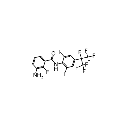 Nc1cccc(C(=O)Nc2c(I)cc(C(F)(C(F)(F)F)C(F)(F)F)cc2I)c1F